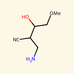 COCC(O)C(C#N)CN